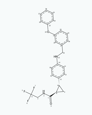 O=C(NCC(F)(F)F)[C@@H]1C[C@H]1c1ccc(NCc2cccc(Oc3ccccc3)c2)cc1